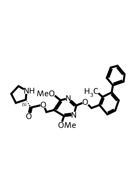 COc1nc(OCc2cccc(-c3ccccc3)c2C)nc(OC)c1COC(=O)[C@@H]1CCCN1